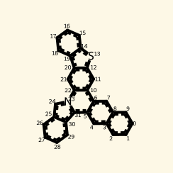 c1ccc2cc3c(cc2c1)c1cc2sc4ccccc4c2cc1n1cc2ccccc2c31